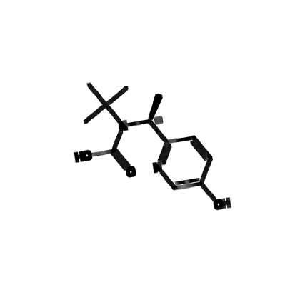 C[C@@H](c1ccc(O)cn1)N(C(=O)O)C(C)(C)C